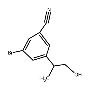 [CH2]C(CO)c1cc(Br)cc(C#N)c1